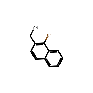 N#CCc1ccc2ccccc2c1Br